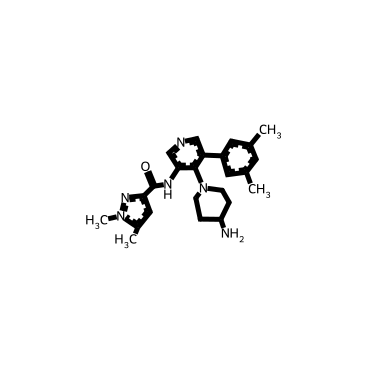 Cc1cc(C)cc(-c2cncc(NC(=O)c3cc(C)n(C)n3)c2N2CCC(N)CC2)c1